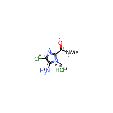 CNC(=O)c1nc(Cl)c(N)n1C.Cl